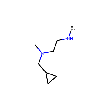 CCNCCN(C)CC1CC1